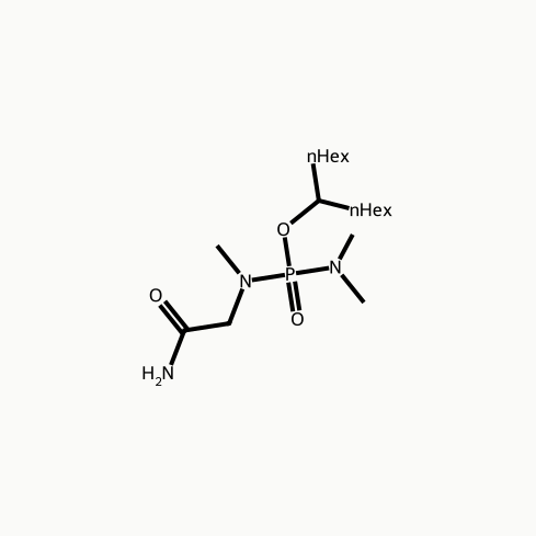 CCCCCCC(CCCCCC)OP(=O)(N(C)C)N(C)CC(N)=O